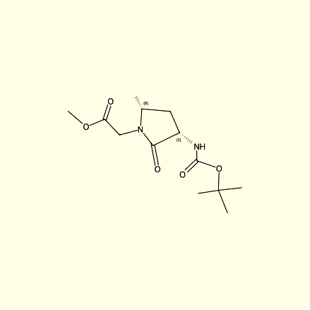 COC(=O)CN1C(=O)[C@@H](NC(=O)OC(C)(C)C)C[C@H]1C